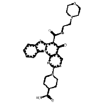 NC(=O)C1CCN(c2ncc3c(=O)c(C(=O)NCCN4CCOCC4)c4sc5ccccc5n4c3n2)CC1